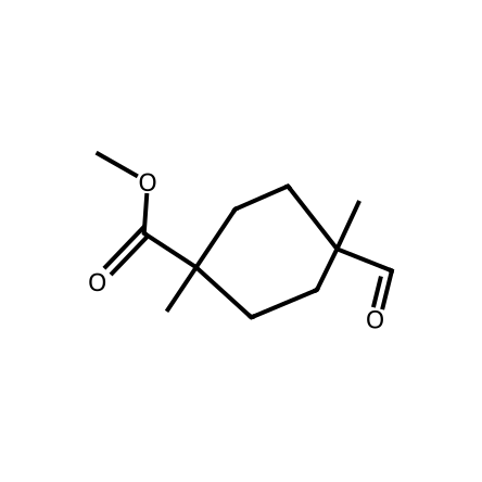 COC(=O)C1(C)CCC(C)(C=O)CC1